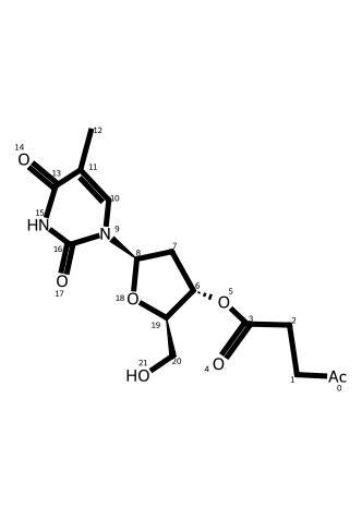 CC(=O)CCC(=O)O[C@H]1C[C@H](n2cc(C)c(=O)[nH]c2=O)O[C@@H]1CO